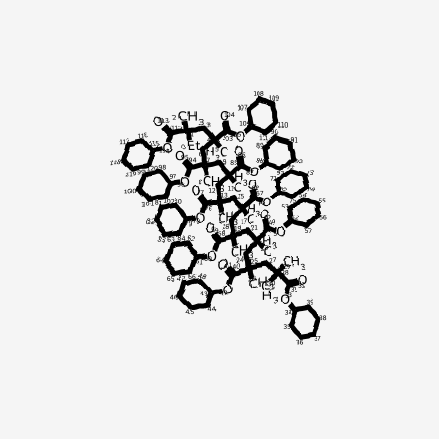 CCC(C)(CC(C)(CC(C)(CC(C)(CC(C)(CC(C)(CC(C)(CC(C)(CC(C)(CC(C)(C)C(=O)OC1CCCCC1)C(=O)OC1CCCCC1)C(=O)OC1CCCCC1)C(=O)OC1CCCCC1)C(=O)OC1CCCCC1)C(=O)OC1CCCCC1)C(=O)OC1CCCCC1)C(=O)OC1CCCCC1)C(=O)OC1CCCCC1)C(=O)OC1CCCCC1